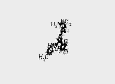 CN1CCN(NC(=O)c2cn(CCCNc3ccc([N+](=O)[O-])c(N)n3)cc2-c2ccc(Cl)cc2Cl)CC1